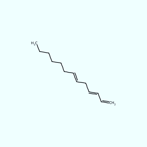 C=CC=CCC=CCCCCCC